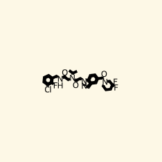 CC(C)N(CC(=O)NCc1cccc(Cl)c1F)C(=O)Cn1ncc2cc(C(=O)N3CCCC(F)(F)C3)ccc21